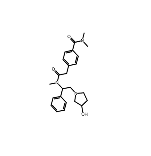 CN(C)C(=O)c1ccc(CC(=O)N(C)C(CN2CCC(O)C2)c2ccccc2)cc1